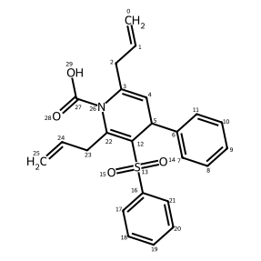 C=CCC1=CC(c2ccccc2)C(S(=O)(=O)c2ccccc2)=C(CC=C)N1C(=O)O